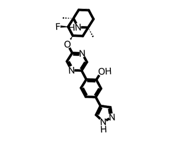 C[C@@]12CCC[C@@](C)(N1)[C@H](F)[C@@H](Oc1cnc(-c3ccc(-c4cn[nH]c4)cc3O)cn1)C2